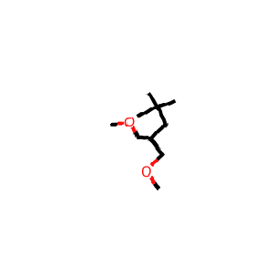 COCC(COC)CC(C)(C)C